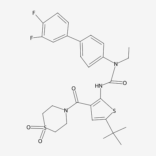 CCN(C(=O)Nc1sc(C(C)(C)C)cc1C(=O)N1CCS(=O)(=O)CC1)c1ccc(-c2ccc(F)c(F)c2)cc1